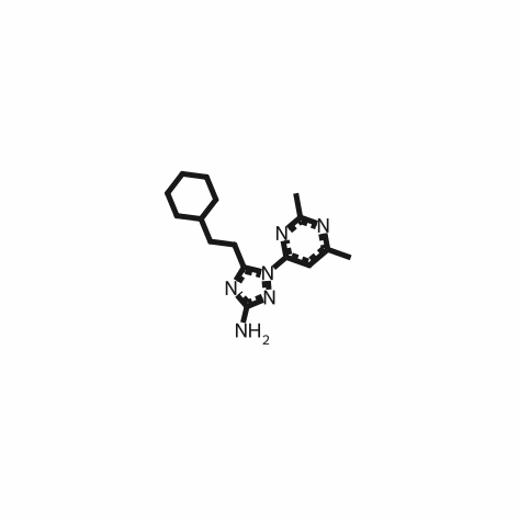 Cc1cc(-n2nc(N)nc2CCC2CCCCC2)nc(C)n1